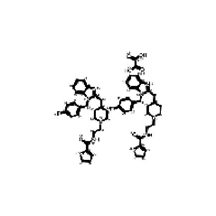 O=C(NCCN1CCC(Cc2nc3ccccc3n2Cc2ccc(F)cc2)CC1)c1cccs1.O=C(NCCN1CCC(Cc2nc3ccccc3n2Cc2ccc(F)cc2)CC1)c1cccs1.O=C(O)C(=O)O